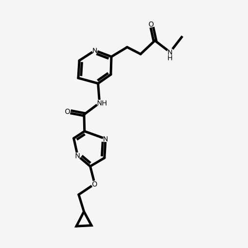 CNC(=O)CCc1cc(NC(=O)c2cnc(OCC3CC3)cn2)ccn1